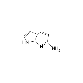 NC1=NC2NC=CC2C=C1